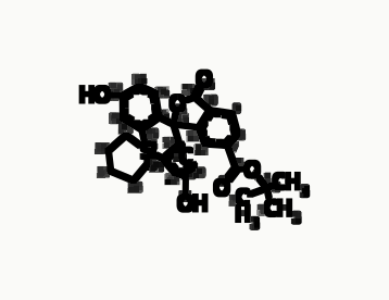 CC(C)(C)OC(=O)c1ccc2c(c1)C1(OC2=O)c2ccc(O)cc2[Si]2(CCCCC2)c2cc(O)ccc21